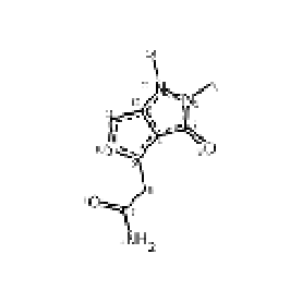 Cn1c(=O)c2c(CC(N)=O)scc2n1C